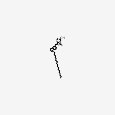 CCCCCCCCCCCCCCCCCCN1CCCc2cc(/C=C3\SC(=S)N(CC(=O)O)C3=O)ccc21